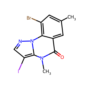 Cc1cc(Br)c2c(c1)c(=O)n(C)c1c(I)cnn21